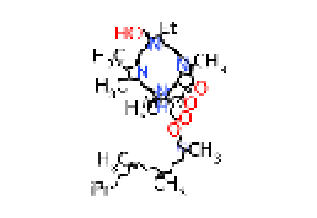 C=CC1=C(C)C2=NC1=CC1=NC(=C(CC)C1=CO)C=C1N=C3C(=C1C)C(=O)[C@@H](C(=O)OC)C3=C1NC(=C2)[C@@H](C)[C@@H]1CCC(=O)OC/C=C(\C)CCC[C@H](C)CCC[C@H](C)CCCC(C)C